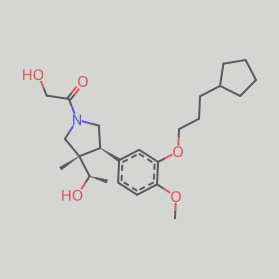 COc1ccc([C@@H]2CN(C(=O)CO)C[C@@]2(C)[C@@H](C)O)cc1OCCCC1CCCC1